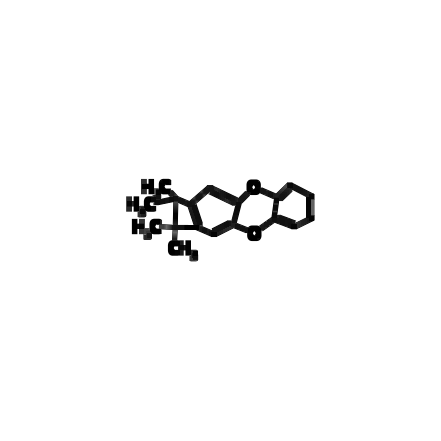 CC1(C)c2cc3c(cc2C1(C)C)Oc1ccccc1O3